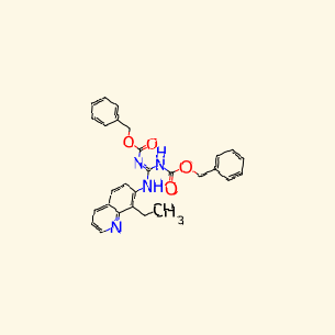 CCc1c(NC(=NC(=O)OCc2ccccc2)NC(=O)OCc2ccccc2)ccc2cccnc12